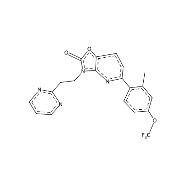 Cc1cc(OC(F)(F)F)ccc1-c1ccc2oc(=O)n(CCc3ncccn3)c2n1